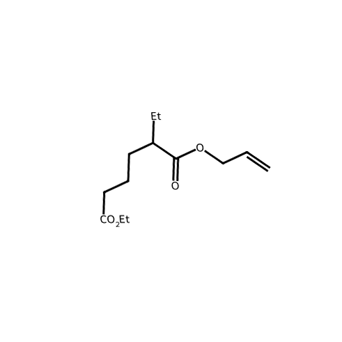 C=CCOC(=O)C(CC)CCCC(=O)OCC